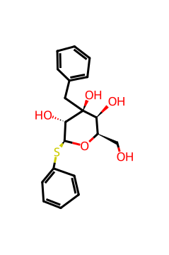 OC[C@H]1O[C@@H](Sc2ccccc2)[C@H](O)[C@](O)(Cc2ccccc2)[C@H]1O